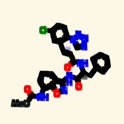 COC(=O)Nc1cccc2c(NC(=O)[C@H](Cc3ccccc3)NC(=O)/C=C/c3cc(Cl)ccc3-n3cnnn3)noc12